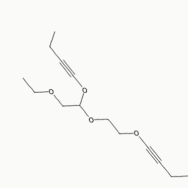 CCC#COCCOC(COCC)OC#CCC